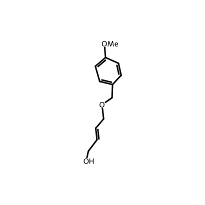 COc1ccc(COC/C=C/CO)cc1